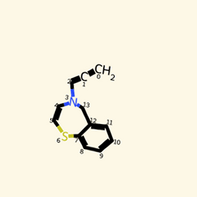 C=C=CN1C=CSc2ccccc2C1